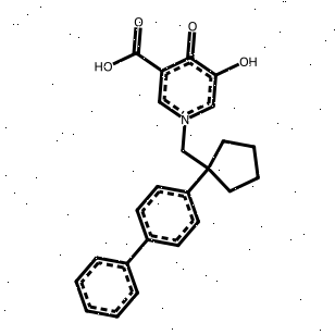 O=C(O)c1cn(CC2(c3ccc(-c4ccccc4)cc3)CCCC2)cc(O)c1=O